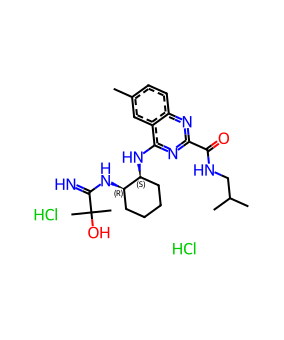 Cc1ccc2nc(C(=O)NCC(C)C)nc(N[C@H]3CCCC[C@H]3NC(=N)C(C)(C)O)c2c1.Cl.Cl